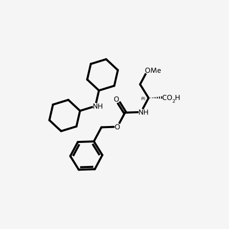 C1CCC(NC2CCCCC2)CC1.COC[C@@H](NC(=O)OCc1ccccc1)C(=O)O